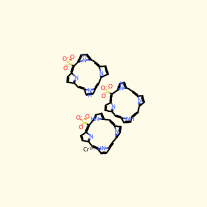 O=S(=O)([O-])c1c2nc(cc3ccc(cc4nc(cc5ccc1[nH]5)C=C4)[nH]3)C=C2.O=S(=O)([O-])c1c2nc(cc3ccc(cc4nc(cc5ccc1[nH]5)C=C4)[nH]3)C=C2.O=S(=O)([O-])c1c2nc(cc3ccc(cc4nc(cc5ccc1[nH]5)C=C4)[nH]3)C=C2.[Cr+3]